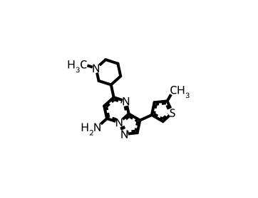 Cc1cc(-c2cnn3c(N)cc(C4CCCN(C)C4)nc23)cs1